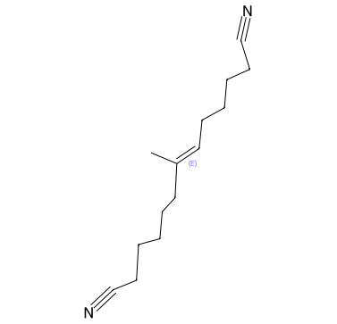 C/C(=C\CCCCC#N)CCCCCC#N